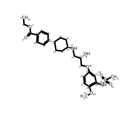 CCOC(=O)c1ccc([C@H]2CC[C@H](NC[C@H](O)COc3ccc(OC)c(NS(C)(=O)=O)c3)CC2)cc1